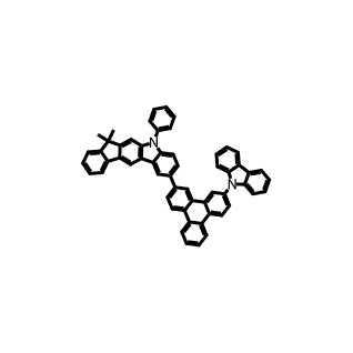 CC1(C)c2ccccc2-c2cc3c4cc(-c5ccc6c7ccccc7c7ccc(-n8c9ccccc9c9ccccc98)cc7c6c5)ccc4n(-c4ccccc4)c3cc21